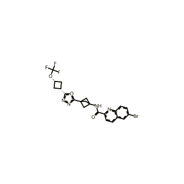 O=C(NC12CC(c3nnc([C@H]4C[C@@H](OC(F)(F)F)C4)o3)(C1)C2)c1ccc2cc(Br)ccc2n1